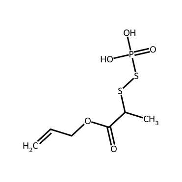 C=CCOC(=O)C(C)SSP(=O)(O)O